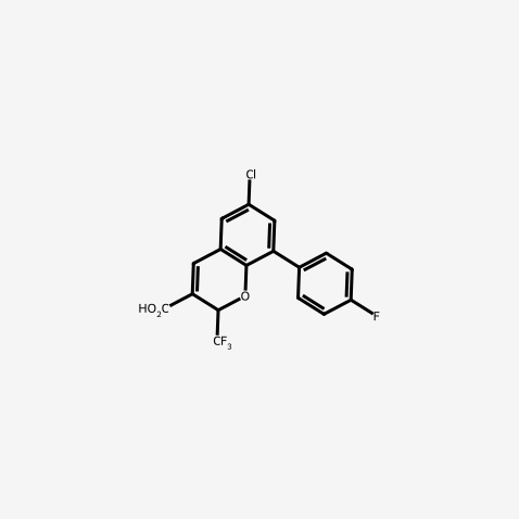 O=C(O)C1=Cc2cc(Cl)cc(-c3ccc(F)cc3)c2OC1C(F)(F)F